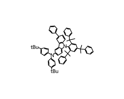 CC(C)(C)c1ccc(N(c2ccc(C(C)(C)C)cc2)c2ccc3c(c2)c2cc(-c4ccccc4)ccc2n3-c2c(C(C)(C)c3ccccc3)cc(C(C)(C)c3ccccc3)cc2C(C)(C)c2ccccc2)cc1